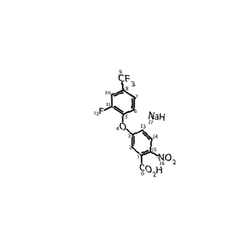 O=C(O)c1cc(Oc2ccc(C(F)(F)F)cc2F)ccc1[N+](=O)[O-].[NaH]